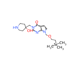 C[Si](C)(C)CCOCn1ccc2c(=O)n(CC3(O)CCNCC3)cnc21